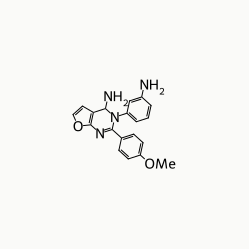 COc1ccc(C2=Nc3occc3C(N)N2c2cccc(N)c2)cc1